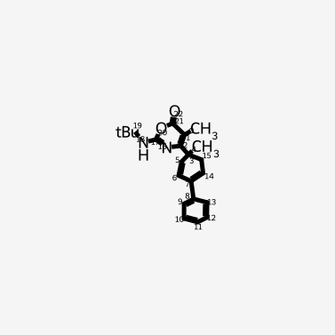 Cc1c(C2(C)C=CC(c3ccccc3)=CC2)nc(NC(C)(C)C)oc1=O